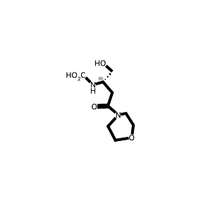 O=C(O)N[C@H](CO)CC(=O)N1CCOCC1